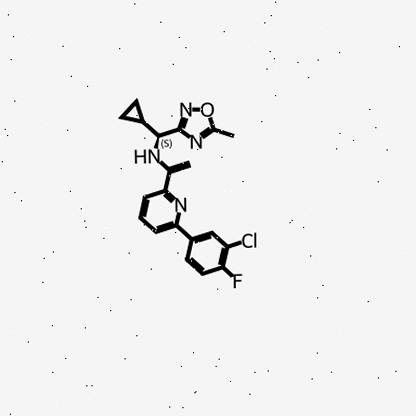 C=C(N[C@H](c1noc(C)n1)C1CC1)c1cccc(-c2ccc(F)c(Cl)c2)n1